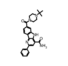 CC(C)(C)N1CCN(C(=O)c2ccc3c(c2)[nH]c2c(C(N)=O)cc(-c4ccccc4)nc23)CC1